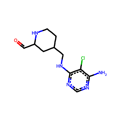 Nc1ncnc(NCC2CCNC(C=O)C2)c1Cl